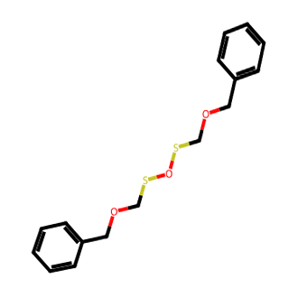 c1ccc(COCSOSCOCc2ccccc2)cc1